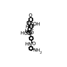 C[C@]12C=CC(=O)C=C1CC[C@H]1[C@@H]3C[C@H]4O[C@H](c5ccc(C(=O)Nc6cccc(N)c6)cc5)O[C@@]4(C(=O)CO)[C@@]3(C)C[C@H](O)[C@@]12F